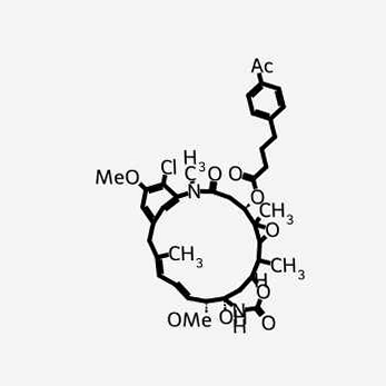 COc1cc2cc(c1Cl)N(C)C(=O)C[C@H](OC(=O)CCCc1ccc(C(C)=O)cc1)C1(C)OC1C(C)[C@@H]1C[C@@](O)(NC(=O)O1)[C@H](OC)/C=C/C=C(\C)C2